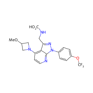 COC1CN(c2ccnc3c2c(CNC(=O)O)nn3-c2ccc(OC(F)(F)F)cc2)C1